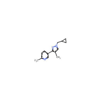 Cc1cn(CC2CC2)nc1-c1ccc(C(F)(F)F)nc1